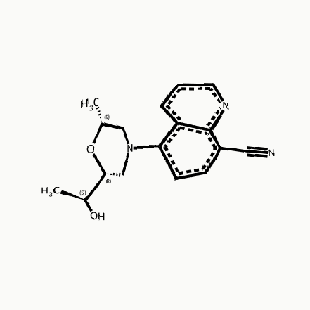 C[C@@H]1CN(c2ccc(C#N)c3ncccc23)C[C@H]([C@H](C)O)O1